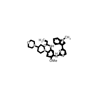 C=CC(=O)Nc1cc(Nc2nccc(-c3cn(C)c4ccccc34)n2)c(OC)cc1N1CCC(N2CCOCC2)CC1